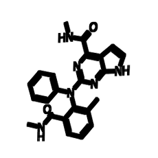 CNC(=O)c1cccc(C)c1N(c1ccccc1)c1nc(C(=O)NC)c2cc[nH]c2n1